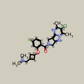 Cc1nc2c3c(nn2c(C)c1Cl)CN(C(=O)c1ccc(F)cc1OC1CC(CN(C)C)C1)C3